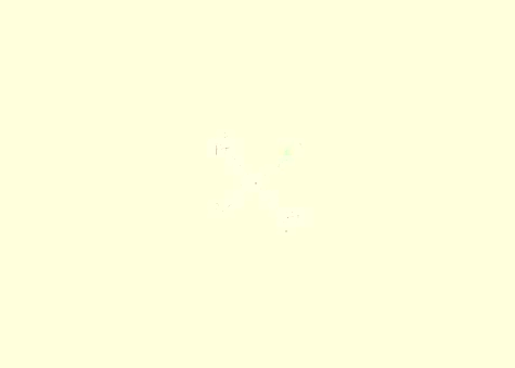 CC(C)C(C)(F)C(C)C